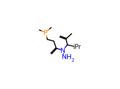 C=C(C)C(C(C)C)N(N)C(=C)CCP(C)C